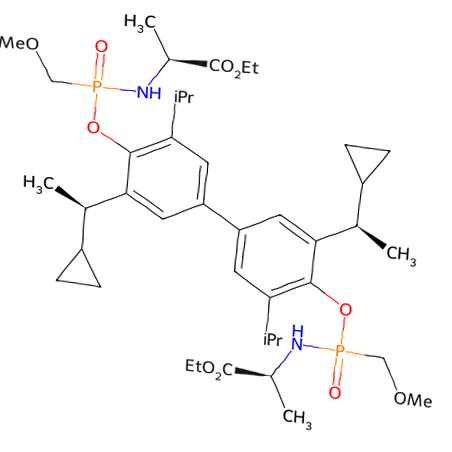 CCOC(=O)[C@H](C)NP(=O)(COC)Oc1c(C(C)C)cc(-c2cc(C(C)C)c(OP(=O)(COC)N[C@@H](C)C(=O)OCC)c([C@H](C)C3CC3)c2)cc1[C@H](C)C1CC1